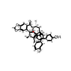 Cc1c(C(=O)N(c2ccc(O)cc2)c2cccc(F)c2)cc(-c2cc3c(cc2C(=O)N2Cc4ccccc4C[C@H]2C)OCO3)n1C